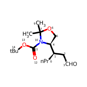 CCC[C@H](CC=O)[C@@H]1COC(C)(C)N1C(=O)OC(C)(C)C